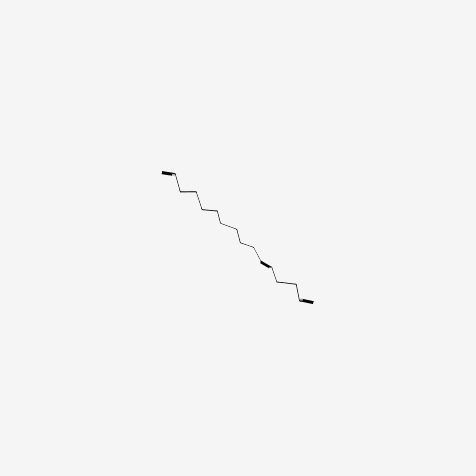 C=CCCC=CCCCCCCCCC=C